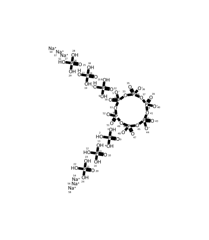 O=P(O)(O)O.O=P(O)(O)O.O=P(O)(O)O.O=P(O)(O)O.O=P(O)(O)O.O=P(O)(O)O.O=P1([O-])OP(=O)([O-])OP(=O)([O-])OP(=O)([O-])OP(=O)([O-])OP(=O)([O-])O1.[Na+].[Na+].[Na+].[Na+].[Na+].[Na+]